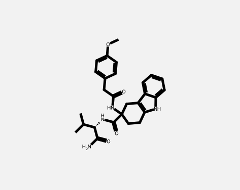 COc1ccc(CC(=O)NC2(C(=O)N[C@H](C(N)=O)C(C)C)CCc3[nH]c4ccccc4c3C2)cc1